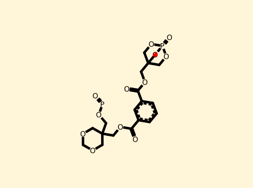 O=POCC1(COC(=O)c2cccc(C(=O)OCC34COP(=O)(OC3)OC4)c2)COCOC1